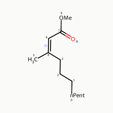 CCCCCCCC/C(C)=C\C(=O)OC